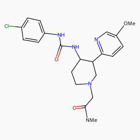 CNC(=O)CN1CCC(NC(=O)Nc2ccc(Cl)cc2)C(c2ccc(OC)cn2)C1